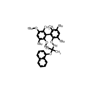 CCC(C)(Oc1cccc2ccccc12)POc1c(C(C)(C)C)cc(C(C)(C)C)c(C)c1-c1c(C)c(OC(C)(C)C)cc(C(C)(C)C)c1OP